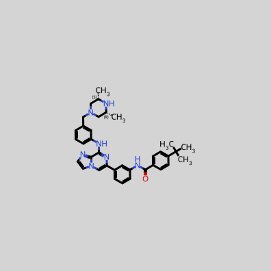 C[C@@H]1CN(Cc2cccc(Nc3nc(-c4cccc(NC(=O)c5ccc(C(C)(C)C)cc5)c4)cn4ccnc34)c2)C[C@H](C)N1